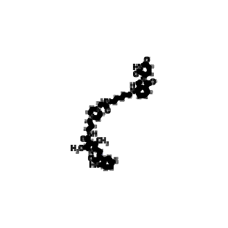 Cc1[nH]c(/C=C2\C(=O)Nc3ccc(F)cc32)c(C)c1C(=O)NCCCN1CCN(CC(=O)NCCCCCNc2cccc3c2CN(C2CCC(=O)NC2=O)C3=O)CC1